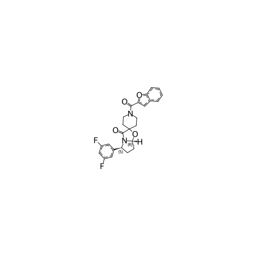 O=C(c1cc2ccccc2o1)N1CCC2(CC1)O[C@@H]1CC[C@@H](c3cc(F)cc(F)c3)N1C2=O